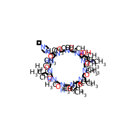 C/C=C/C[C@@H](C)[C@@H](O)[C@H]1C(=O)N[C@@H](CC)C(=O)N(C)[C@H](C)C(=O)N(C)[C@@H]([C@@H](C)CN2CCN(C3CCC3)CC2)C(=O)N[C@@H](C(C)C)C(=O)N(C)[C@@H](CCC(C)C)C(=O)N[C@@H](C)C(=O)N[C@H](C)C(=O)N(C)[C@@H](CC(C)C)C(=O)N(C)C(CC(C)C)C(=O)N(C)[C@@H](C(C)C)C(=O)N1C